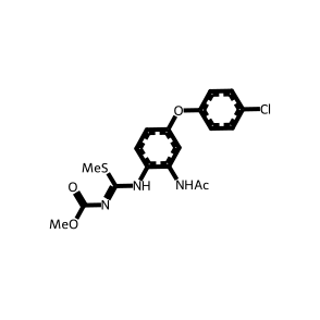 COC(=O)/N=C(/Nc1ccc(Oc2ccc(Cl)cc2)cc1NC(C)=O)SC